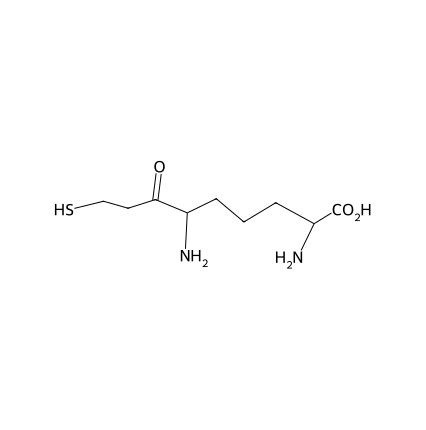 NC(CCCC(N)C(=O)CCS)C(=O)O